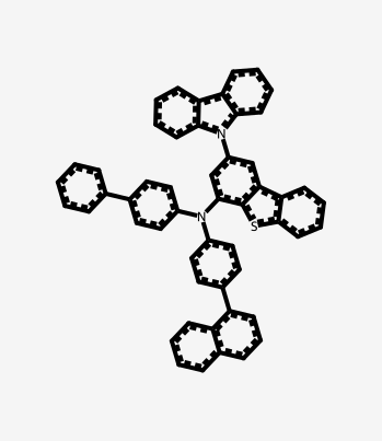 c1ccc(-c2ccc(N(c3ccc(-c4cccc5ccccc45)cc3)c3cc(-n4c5ccccc5c5ccccc54)cc4c3sc3ccccc34)cc2)cc1